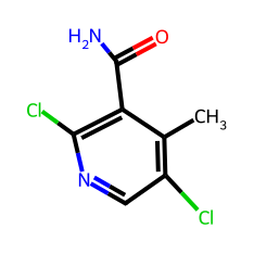 Cc1c(Cl)cnc(Cl)c1C(N)=O